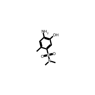 Cc1cc(N)c(O)cc1S(=O)(=O)N(C)C